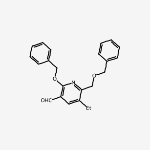 CCc1cc(C=O)c(OCc2ccccc2)nc1COCc1ccccc1